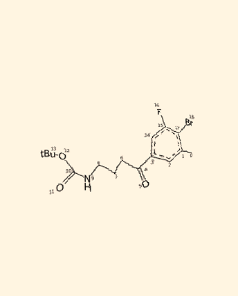 Cc1cc(C(=O)CCCNC(=O)OC(C)(C)C)cc(F)c1Br